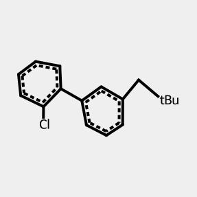 CC(C)(C)Cc1cccc(-c2ccccc2Cl)c1